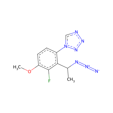 COc1ccc(-n2cnnn2)c(C(C)N=[N+]=[N-])c1F